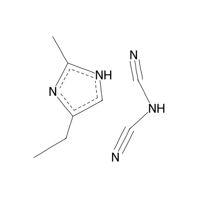 CCc1c[nH]c(C)n1.N#CNC#N